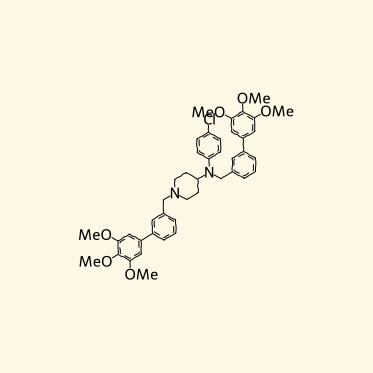 COc1cc(-c2cccc(CN3CCC(N(Cc4cccc(-c5cc(OC)c(OC)c(OC)c5)c4)c4ccc(Cl)cc4)CC3)c2)cc(OC)c1OC